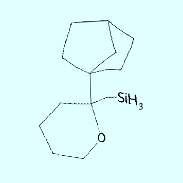 [SiH3]C1(C23CCC(CC2)C3)CCCCO1